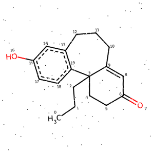 CCCC12CCC(=O)C=C1CCCc1cc(O)ccc12